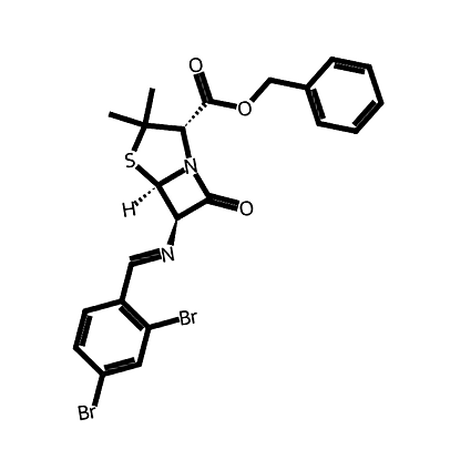 CC1(C)S[C@@H]2[C@H](N=Cc3ccc(Br)cc3Br)C(=O)N2[C@H]1C(=O)OCc1ccccc1